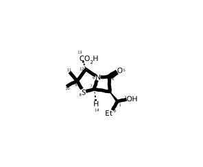 CCC(O)[C@@H]1C(=O)N2[C@@H]1SC(C)(C)[C@@H]2C(=O)O